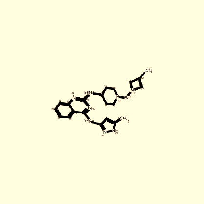 Cc1cc(Nc2nc(NC3CCN(SN4CC(C#N)C4)CC3)nc3ccccc23)n[nH]1